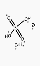 O=S(=O)(O)O.[CaH2].[Zn]